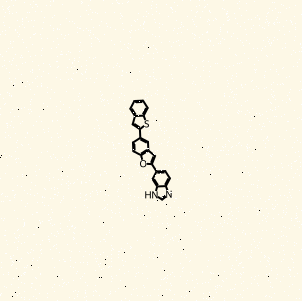 c1ccc2sc(-c3ccc4oc(-c5ccc6nc[nH]c6c5)cc4c3)cc2c1